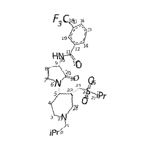 CC(C)CN1CC[C@H](N2CC[C@H](NC(=O)c3cccc(C(F)(F)F)c3)C2=O)[C@H](CS(=O)(=O)C(C)C)C1